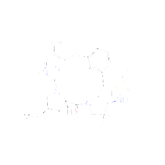 CO[C@@H]1C[C@H]2C(=O)N3CC(F)(F)[C@H](NS(C)(=O)=O)[C@@H]3Cc3cccc(c3F)Oc3nc(ncc3C)N2C1